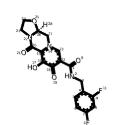 O=C(NCc1ccc(F)cc1F)c1cn2c(c(O)c1=O)C(=O)N1CCO[C@H]1C2